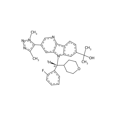 [2H][C@](c1ccccc1F)(C1CCOCC1)n1c2cc(C(C)(C)O)ccc2c2ncc(-c3c(C)nnn3C)cc21